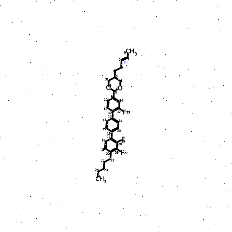 C/C=C/CCC1COC(c2ccc(-c3ccc(-c4ccc(CCCCC)c(F)c4F)cc3)c(F)c2)OC1